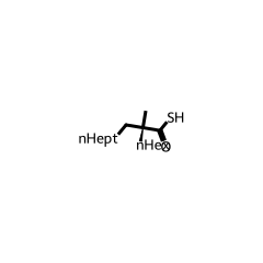 CCCCCCCC[C@@](C)(CCCCCC)C(=O)S